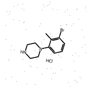 Cc1c(Br)cccc1N1CCNCC1.Cl